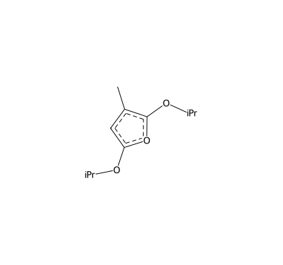 Cc1cc(OC(C)C)oc1OC(C)C